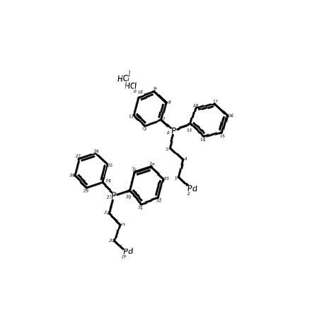 Cl.Cl.[Pd][CH2]CCP(c1ccccc1)c1ccccc1.[Pd][CH2]CCP(c1ccccc1)c1ccccc1